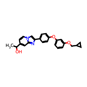 CC(O)c1ccn2cc(-c3ccc(Oc4cccc(OCC5CC5)c4)cc3)nc2c1